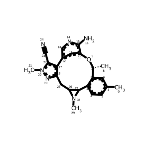 Cc1ccc2c(c1)[C@@H](C)Oc1cc(cnc1N)-c1c(nn(C)c1C#N)CC1C2N1C